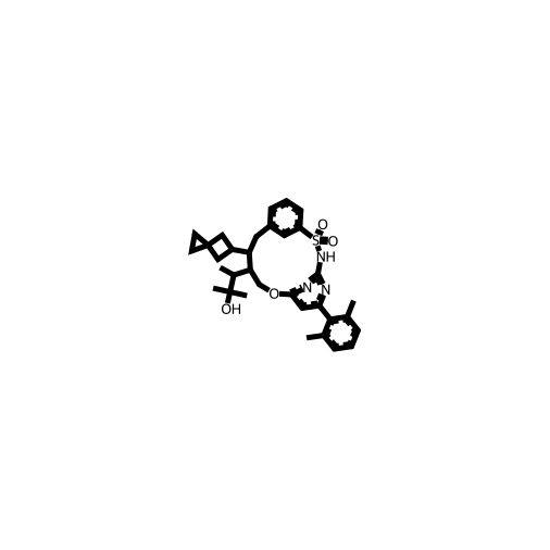 Cc1cccc(C)c1-c1cc2nc(n1)NS(=O)(=O)c1cccc(c1)CC(C1CC3(CC3)C1)C(C(C)C(C)(C)O)CO2